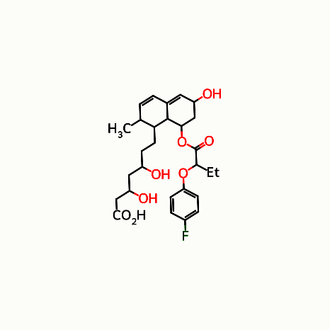 CCC(Oc1ccc(F)cc1)C(=O)OC1CC(O)C=C2C=CC(C)C(CCC(O)CC(O)CC(=O)O)C21